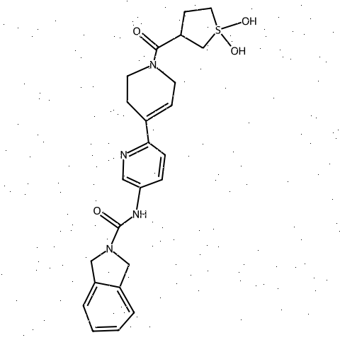 O=C(Nc1ccc(C2=CCN(C(=O)C3CCS(O)(O)C3)CC2)nc1)N1Cc2ccccc2C1